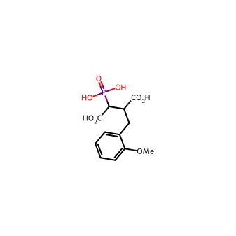 COc1ccccc1CC(C(=O)O)C(C(=O)O)P(=O)(O)O